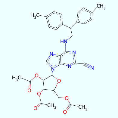 CC(=O)OCC1OC(n2cnc3c(NCC(c4ccc(C)cc4)c4ccc(C)cc4)nc(C#N)nc32)C(OC(C)=O)C1OC(C)=O